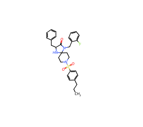 CCCc1ccc(S(=O)(=O)N2CCC3(CC2)NC(Cc2ccccc2)C(=O)N3Cc2ccccc2F)cc1